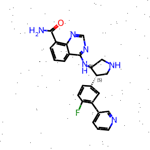 NC(=O)c1cccc2c(N[C@H]3CNC[C@@H]3c3ccc(F)c(-c4cccnc4)c3)ncnc12